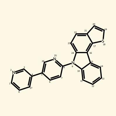 c1cncc(-c2ccc(-n3c4ccccc4c4c5sccc5ccc43)nc2)c1